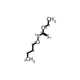 CCCCOSC(=S)OCC